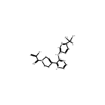 C=C(F)C(=O)N1CC=C(c2nccnc2Oc2ccc(C(F)(F)F)nc2)CC1